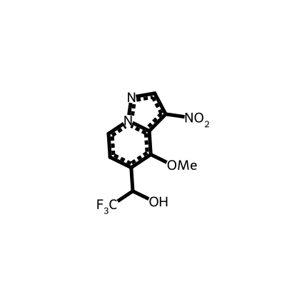 COc1c(C(O)C(F)(F)F)ccn2ncc([N+](=O)[O-])c12